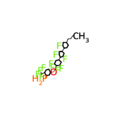 CCCCc1ccc(-c2cc(F)c(-c3cc(F)c(C(F)(F)Oc4cc(F)c(C(F)(F)F)c(P)c4)c(F)c3)c(F)c2)c(F)c1